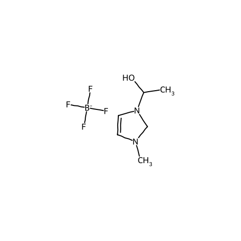 CC(O)N1C=CN(C)C1.F[B-](F)(F)F